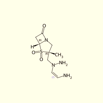 C[C@]1(CN(N)/C=C\N)CN2C(=O)C[C@H]2S1(=O)=O